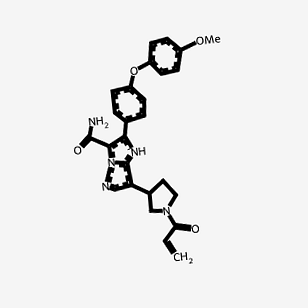 C=CC(=O)N1CCC(c2cnn3c(C(N)=O)c(-c4ccc(Oc5ccc(OC)cc5)cc4)[nH]c23)C1